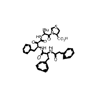 CCC(C)C(NC(=O)C(=O)C(Cc1ccccc1)NC(=O)C(Cc1ccccc1)NC(=O)Cc1ccccc1)C(=O)N1CSCC1C(=O)O